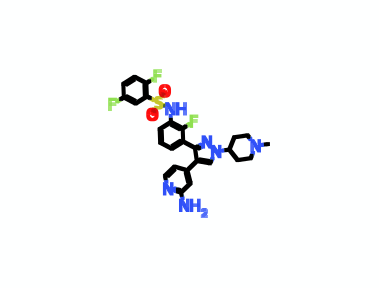 CN1CCC(n2cc(-c3ccnc(N)c3)c(-c3cccc(NS(=O)(=O)c4cc(F)ccc4F)c3F)n2)CC1